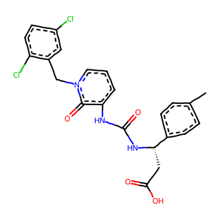 Cc1ccc([C@H](CC(=O)O)NC(=O)Nc2cccn(Cc3cc(Cl)ccc3Cl)c2=O)cc1